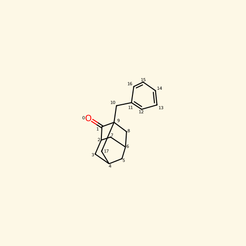 O=C1C2CC3CC(C2)CC1(Cc1ccccc1)C3